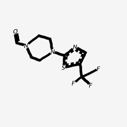 O=CN1CCN(c2ncc(C(F)(F)F)s2)CC1